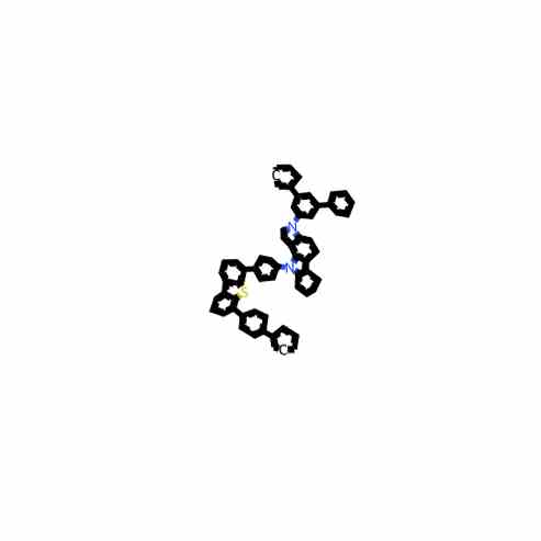 c1ccc(-c2ccc(-c3cccc4c3sc3c(-c5ccc(-n6c7ccccc7c7ccc8c(ccn8-c8cc(-c9ccccc9)cc(-c9ccccc9)c8)c76)cc5)cccc34)cc2)cc1